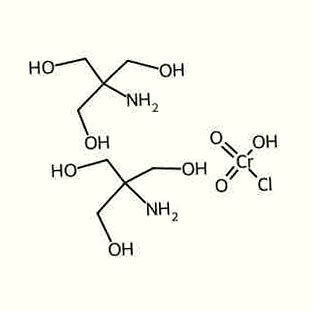 NC(CO)(CO)CO.NC(CO)(CO)CO.[O]=[Cr](=[O])([OH])[Cl]